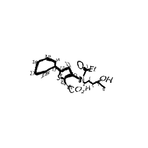 CCC(=O)N(CCCC(C)O)c1cc(C2C=CCCC2)sc1C(=O)O